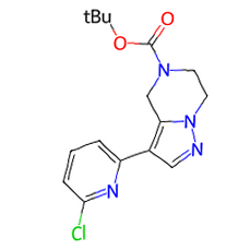 CC(C)(C)OC(=O)N1CCn2ncc(-c3cccc(Cl)n3)c2C1